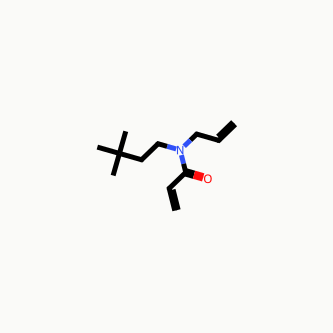 C=CCN(CCC(C)(C)C)C(=O)C=C